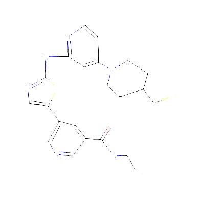 O=C(NCC(F)(F)F)c1cncc(-c2cnc(Nc3cc(N4CCC(CS)CC4)ccn3)s2)c1